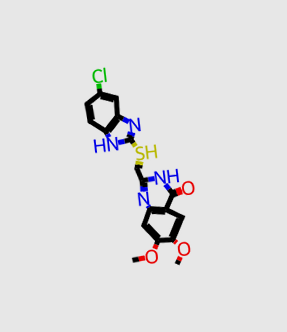 COc1cc2nc(C=[SH]c3nc4cc(Cl)ccc4[nH]3)[nH]c(=O)c2cc1OC